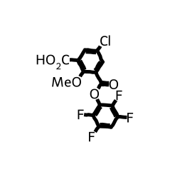 COc1c(C(=O)O)cc(Cl)cc1C(=O)Oc1c(F)c(F)cc(F)c1F